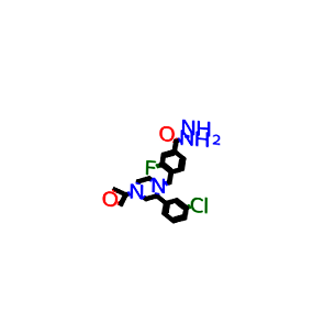 NNC(=O)c1ccc(CN2CCN(C3COC3)CC2c2cccc(Cl)c2)c(F)c1